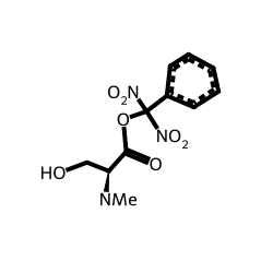 CN[C@@H](CO)C(=O)OC(c1ccccc1)([N+](=O)[O-])[N+](=O)[O-]